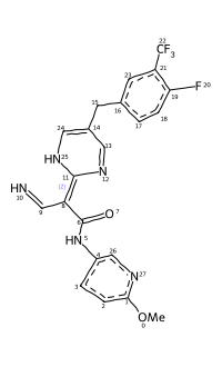 COc1ccc(NC(=O)/C(C=N)=C2\N=CC(Cc3ccc(F)c(C(F)(F)F)c3)=CN2)cn1